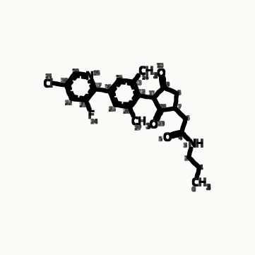 CCCNC(=O)CC1CC(=O)C(c2c(C)cc(-c3ncc(Cl)cc3F)cc2C)C1=O